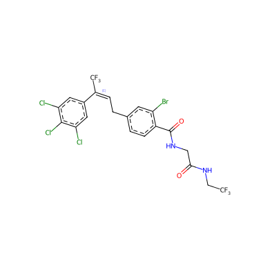 O=C(CNC(=O)c1ccc(C/C=C(\c2cc(Cl)c(Cl)c(Cl)c2)C(F)(F)F)cc1Br)NCC(F)(F)F